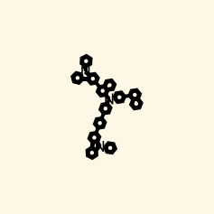 c1ccc(-n2c3ccccc3c3cc(-c4ccc(N(c5ccc(-c6ccc(-c7ccc8c9ccccc9n(-c9ccccc9)c8c7)cc6)cc5)c5ccc(-c6cccc7ccccc67)cc5)c5ccccc45)ccc32)cc1